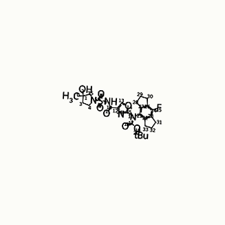 CC1(O)CCN(S(=O)(=O)NC(=O)c2coc(N(C(=O)OC(C)(C)C)c3c4c(c(F)c5c3CCC5)CCC4)n2)C1